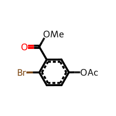 COC(=O)c1cc(OC(C)=O)ccc1Br